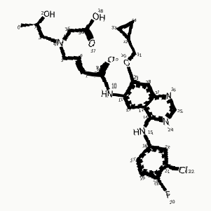 C[C@@H](O)CN(C/C=C/C(=O)Nc1cc2c(Nc3ccc(F)c(Cl)c3)ncnc2cc1OCC1CC1)CC(=O)O